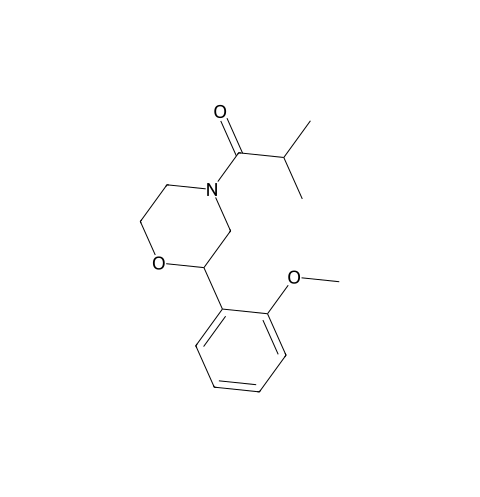 COc1ccccc1C1CN(C(=O)C(C)C)CCO1